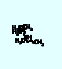 CCCCC(C)NCC[N+](C)(C)C